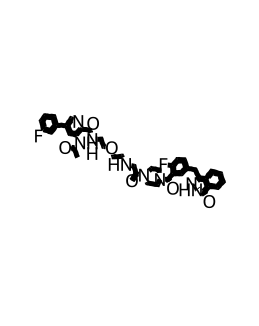 CC(=O)Nc1cc(-c2cccc(F)c2)cnc1C(=O)NCCOCCNCC(=O)N1CCN(C(=O)c2cc(Cc3n[nH]c(=O)c4ccccc34)ccc2F)CC1